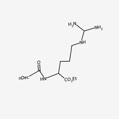 CCCCCCCCCCC(=O)NC(CCCNC(N)N)C(=O)OCC